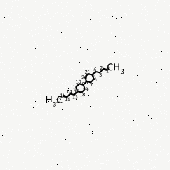 C/C=C/CCC1CCC(C2CCC(CC/C=C/C)CC2)CC1